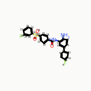 Nc1ccc(-c2ccc(F)cc2)cc1NC(=O)c1ccc(S(=O)(=O)c2cccc(F)c2)cc1